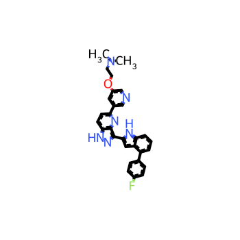 CN(C)CCOc1cncc(-c2ccc3[nH]nc(-c4cc5c(-c6ccc(F)cc6)cccc5[nH]4)c3n2)c1